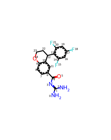 NC(N)=NC(=O)c1ccc2c(c1)C(c1c(F)cc(F)cc1F)CCO2